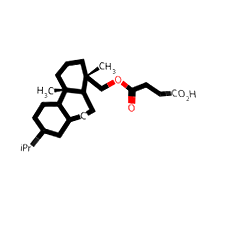 CC(C)C1CCC2C(CCC3[C@@](C)(COC(=O)CCC(=O)O)CCC[C@@]23C)C1